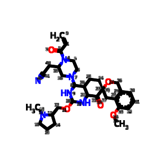 C=CC(=O)N1CCN(C2NC(OCC3CCCN3C)NC3C(=O)[C@@]4(CCC32)Cc2c(cccc2OC)CO4)CC1CC#N